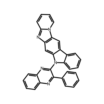 c1ccc(-c2nc3ccccc3nc2-n2c3ccccc3c3cc4c(cc32)nc2ccccn24)cc1